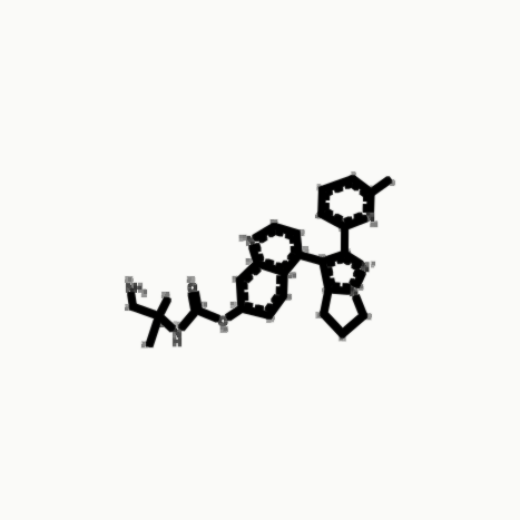 Cc1cccc(-c2nn3c(c2-c2ccnc4cc(OC(=O)NC(C)(C)CN)ccc24)CCC3)n1